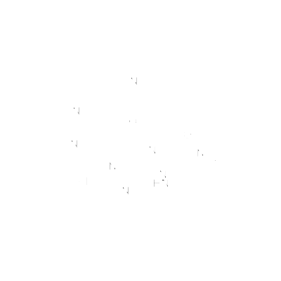 CCN=C=NCCCN(C)C.CCc1cc(C(C(N)=O)c2ccc(Oc3ccnc4cc(OC)c(C#N)cc34)cn2)n[nH]1.Cl